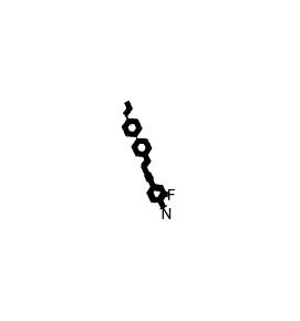 CCC[C@H]1CC[C@H](C2CCC(/C=C/C#Cc3ccc(C#N)c(F)c3)CC2)CC1